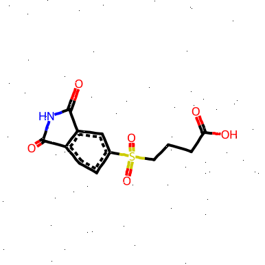 O=C(O)CCCS(=O)(=O)c1ccc2c(c1)C(=O)NC2=O